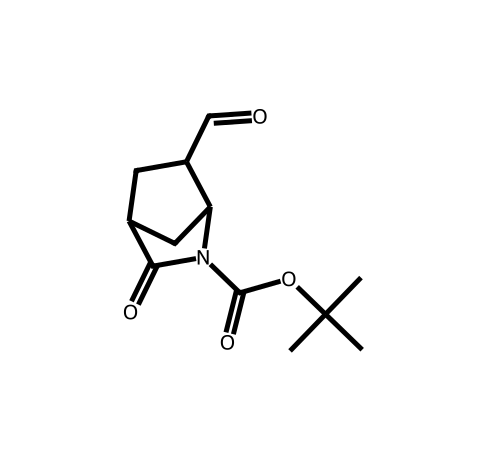 CC(C)(C)OC(=O)N1C(=O)C2CC(C=O)C1C2